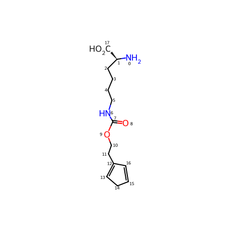 N[C@@H](CCCCNC(=O)OCCC1=CCC=C1)C(=O)O